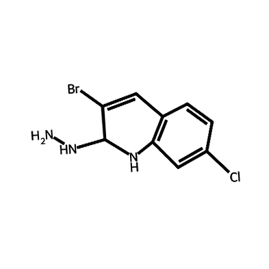 NNC1Nc2cc(Cl)ccc2C=C1Br